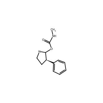 CNC(=O)OC1[N]CC[C@@H]1c1ccccc1